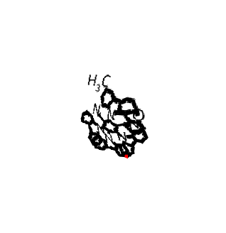 Cc1ccc2c(c1)c1ccc3oc4ccccc4c3c1n2-c1c(C#N)c(-n2c3ccccc3c3ccccc32)c(-n2c3ccccc3c3ccccc32)c(-n2c3ccccc3c3ccccc32)c1C#N